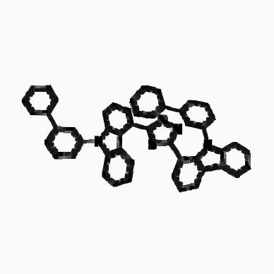 c1ccc(-c2cccc(-n3c4ccccc4c4c(-c5nnc(-c6cccc7c8ccccc8n(-c8cccc(-c9ccccc9)c8)c67)s5)cccc43)c2)cc1